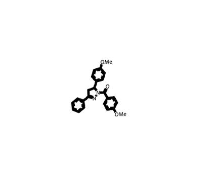 COc1ccc(C(=O)N2N=C(c3ccccc3)CC2c2ccc(OC)cc2)cc1